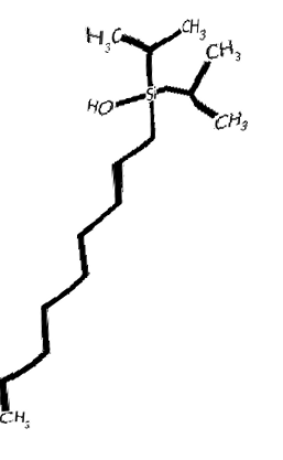 CCCCCCCCC[Si](O)(C(C)C)C(C)C